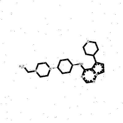 CCN1CCN([C@H]2CC[C@H](Nc3ncnn4ccc(C5CCOCC5)c34)CC2)CC1